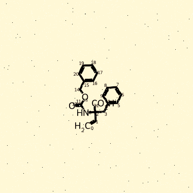 C=CC(Cc1ccccc1)(NC(=O)OCc1ccccc1)C(=O)O